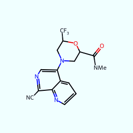 CNC(=O)C1CN(c2cnc(C#N)c3ncccc23)CC(C(F)(F)F)O1